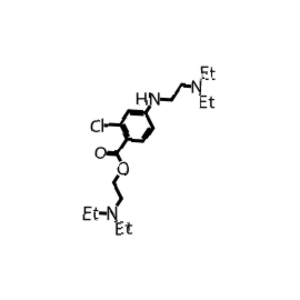 CCN(CC)CCNc1ccc(C(=O)OCCN(CC)CC)c(Cl)c1